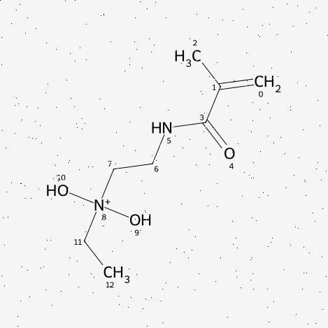 C=C(C)C(=O)NCC[N+](O)(O)CC